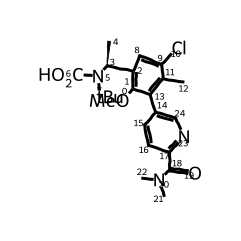 COc1c([C@H](C)N(C(=O)O)C(C)(C)C)cc(Cl)c(C)c1-c1ccc(C(=O)N(C)C)nc1